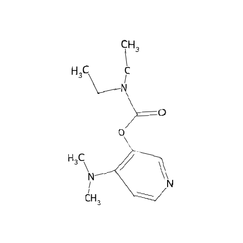 CCN(CC)C(=O)Oc1cnccc1N(C)C